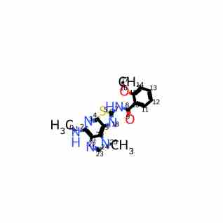 CNc1nc2sc(NC(=O)c3ccccc3OC)nc2c2c1ncn2C